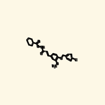 COc1cc(C=CC(=O)NOC(=O)C2CCCCC2)ccc1OCc1ccc(Cl)cc1